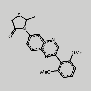 COc1cccc(OC)c1-c1cnc2cc(N3C(=O)CSC3C)ccc2n1